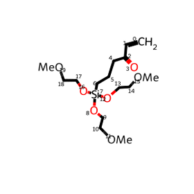 C=CC(=O)CCC[Si](OCCOC)(OCCOC)OCCOC